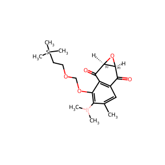 CB(C)c1c(C)cc2c(c1OCOCC[Si](C)(C)C)C(=O)[C@H]1O[C@H]1C2=O